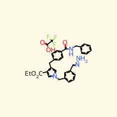 CCOC(=O)c1cn(Cc2cccc(C=NN)c2)cc1Cc1ccc(C(=O)NCc2ccccc2)cc1.O=C(O)C(F)(F)F